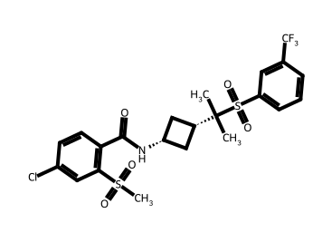 CC(C)([C@H]1C[C@@H](NC(=O)c2ccc(Cl)cc2S(C)(=O)=O)C1)S(=O)(=O)c1cccc(C(F)(F)F)c1